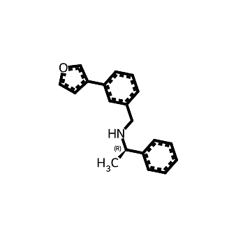 C[C@@H](NCc1cccc(-c2ccoc2)c1)c1ccccc1